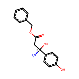 N[C@](O)(CC(=O)OCc1ccccc1)c1ccc(O)cc1